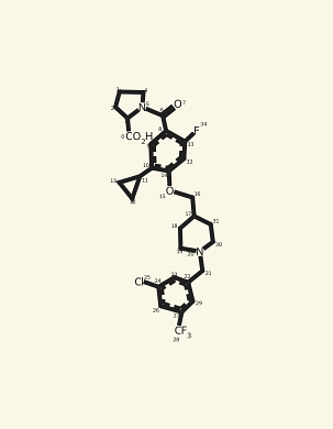 O=C(O)C1CCCN1C(=O)c1cc(C2CC2)c(OCC2CCN(Cc3cc(Cl)cc(C(F)(F)F)c3)CC2)cc1F